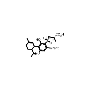 C=C(C)C1CCC(C)=CC1c1c(O)cc(CCCCC)c(S(=O)(=O)N[C@@H](C)C(=O)O)c1O